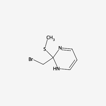 CSC1(CBr)N=CC=CN1